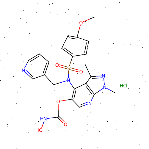 COc1ccc(S(=O)(=O)N(Cc2cccnc2)c2c(OC(=O)NO)cnc3c2c(C)nn3C)cc1.Cl